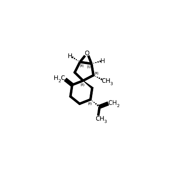 C=C(C)[C@@H]1CCC(=C)[C@]2(C1)C[C@H]1O[C@H]1[C@@H]2C